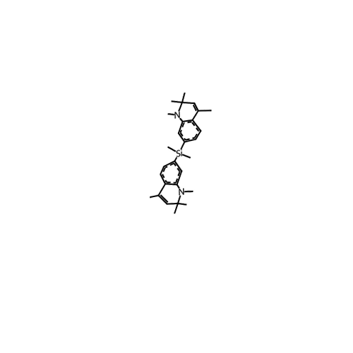 CC1=CC(C)(C)N(C)c2cc([Si](C)(C)c3ccc4c(c3)N(C)C(C)(C)C=C4C)ccc21